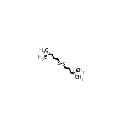 CN(C)CCCSSCCCN(C)C